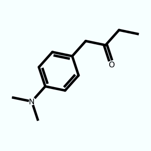 CCC(=O)Cc1ccc(N(C)C)cc1